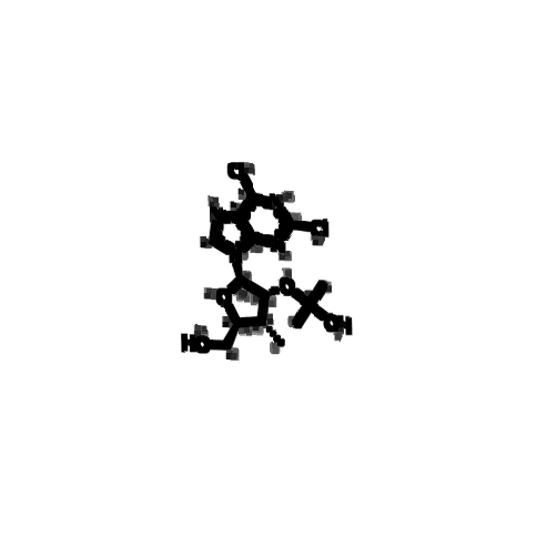 C[C@H]1[C@@H](OC(C)(C)O)[C@H](n2cnc3c(Cl)nc(Cl)nc32)O[C@@H]1CO